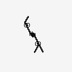 CCCCCC/C=C\COC(=O)CCCCCCCN1CC2CN(CCCCCCCC(=O)OC(CCCCCCCC)CCCCCCCC)CC(C1)O2